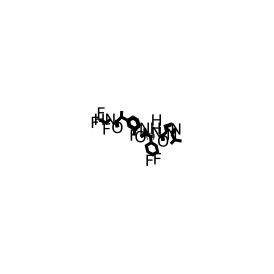 CC(C(=O)NC(F)C(F)F)c1ccc(NC(=O)[C@@H](NC(=O)c2ccnn2C(C)C)C2CCC(F)(F)CC2)c(F)c1